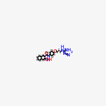 N#CN=C(N)NCCCOc1ccc(NC(=O)c2cc3ccccc3cc2O)cc1